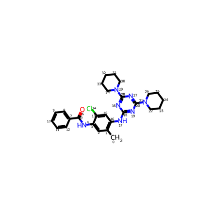 Cc1cc(NC(=O)c2ccccc2)c(Cl)cc1Nc1nc(N2CCCCC2)nc(N2CCCCC2)n1